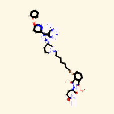 Nc1ncnc2c1c(-c1ccc(Oc3ccccc3)cc1)nn2[C@@H]1CCCN(CCCCCCCSc2cccc3c2C(=O)N(C2CCC(=O)NC2=O)C3=O)C1